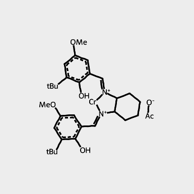 CC(=O)[O-].COc1cc(C=[N+]2[Cr][N+](=Cc3cc(OC)cc(C(C)(C)C)c3O)C3CCCCC32)c(O)c(C(C)(C)C)c1